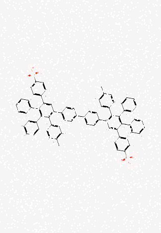 Cc1ccc(-c2c(-c3ccc(-c4ccc(-c5cc(-c6ccc(S(=O)(=O)O)cc6)c(-c6ccccc6)c(-c6ccccc6)c5-c5ccc(C)cc5)cc4)cc3)cc(-c3ccc(S(=O)(=O)O)cc3)c(-c3ccccc3)c2-c2ccccc2)cc1